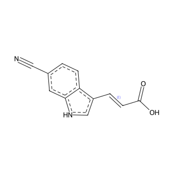 N#Cc1ccc2c(/C=C/C(=O)O)c[nH]c2c1